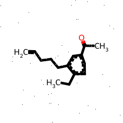 C=CCCCc1cc(C(C)=O)ccc1CC